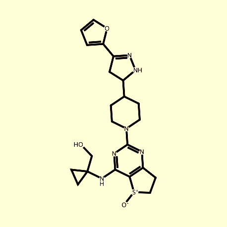 [O-][S+]1CCc2nc(N3CCC(C4CC(c5ccco5)=NN4)CC3)nc(NC3(CO)CC3)c21